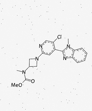 COC(=O)N(C)C1CN(c2cc(-c3nc4ccccc4n3C)c(Cl)cn2)C1